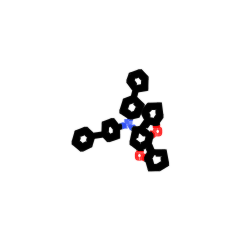 c1ccc(-c2ccc(N(c3ccc(-c4ccccc4)cc3)c3cc4oc5ccccc5c4c4oc5ccccc5c34)cc2)cc1